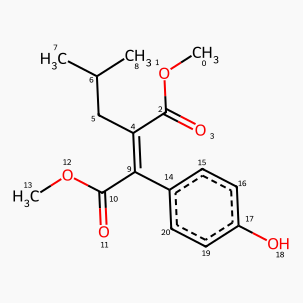 COC(=O)C(CC(C)C)=C(C(=O)OC)c1ccc(O)cc1